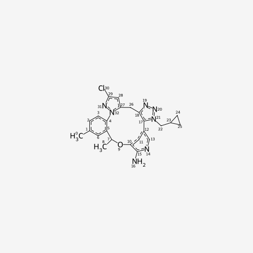 Cc1ccc2c(c1)C(C)Oc1cc(cnc1N)-c1c(nnn1CC1CC1)Cc1cc(Cl)nn1-2